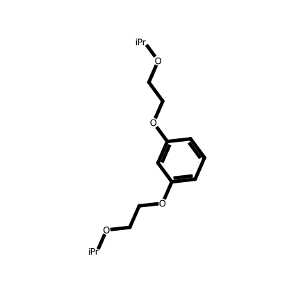 CC(C)OCCOc1cccc(OCCOC(C)C)c1